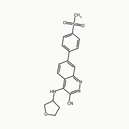 CS(=O)(=O)c1ccc(-c2ccc3c(NC4CCOC4)c(C#N)nnc3c2)cc1